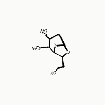 OCC1OC2CC(O)C(O)C1O2